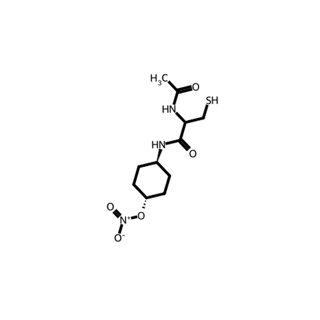 CC(=O)NC(CS)C(=O)N[C@H]1CC[C@H](O[N+](=O)[O-])CC1